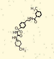 Cc1cccc(C(=O)NCCc2ccc(S(=O)(=O)NC(=O)NN3CCC(C)CC3)cc2)c1